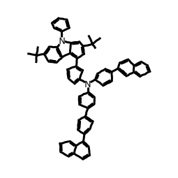 CC(C)(C)c1ccc2c3c(-c4cccc(N(c5ccc(-c6ccc(-c7cccc8ccccc78)cc6)cc5)c5ccc(-c6ccc7ccccc7c6)cc5)c4)cc(C(C)(C)C)cc3n(-c3ccccc3)c2c1